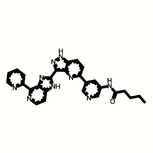 CCCCC(=O)Nc1cncc(-c2ccc3[nH]nc(-c4nc5c(-c6ccccn6)nccc5[nH]4)c3n2)c1